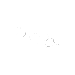 Cc1cc(N)nnc1[C@@H]1CCN(C(=O)OC(C)(C)C)C[C@H]1C